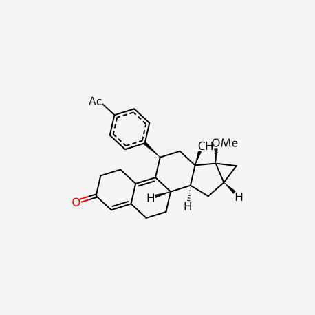 CO[C@@]12C[C@@H]1C[C@H]1[C@@H]3CCC4=CC(=O)CCC4=C3[C@@H](c3ccc(C(C)=O)cc3)C[C@@]12C